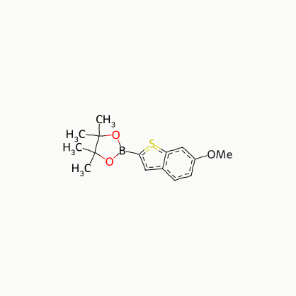 COc1ccc2cc(B3OC(C)(C)C(C)(C)O3)sc2c1